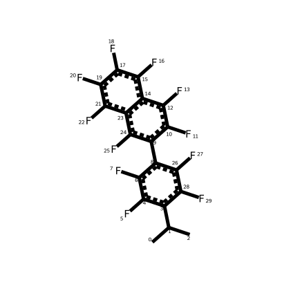 CC(C)c1c(F)c(F)c(-c2c(F)c(F)c3c(F)c(F)c(F)c(F)c3c2F)c(F)c1F